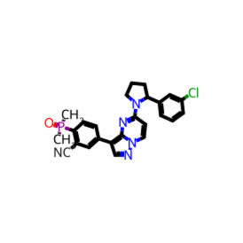 CP(C)(=O)c1ccc(-c2cnn3ccc(N4CCCC4c4cccc(Cl)c4)nc23)cc1C#N